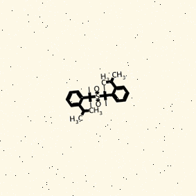 CC(C)c1ccccc1C(I)(I)S(=O)(=O)C(I)(I)c1ccccc1C(C)C